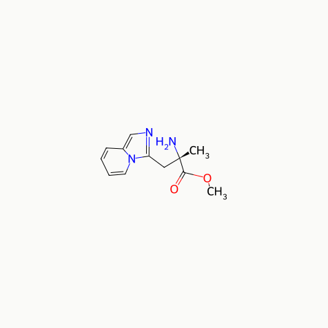 COC(=O)[C@@](C)(N)Cc1ncc2ccccn12